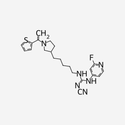 C=C(c1cccs1)N1CCC(CCCCCN/C(=N/C#N)Nc2ccnc(F)c2)C1